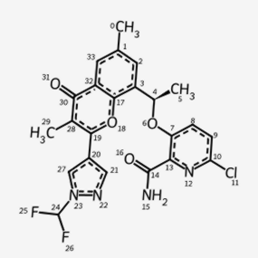 Cc1cc([C@@H](C)Oc2ccc(Cl)nc2C(N)=O)c2oc(-c3cnn(C(F)F)c3)c(C)c(=O)c2c1